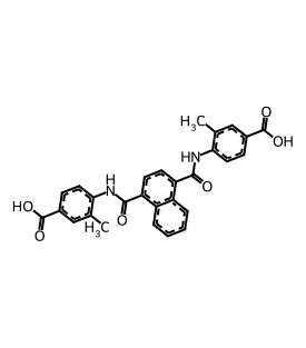 Cc1cc(C(=O)O)ccc1NC(=O)c1ccc(C(=O)Nc2ccc(C(=O)O)cc2C)c2ccccc12